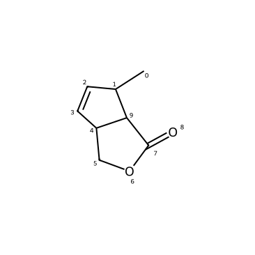 CC1C=CC2COC(=O)C12